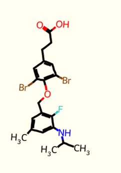 Cc1cc(COc2c(Br)cc(CCC(=O)O)cc2Br)c(F)c(NC(C)C)c1